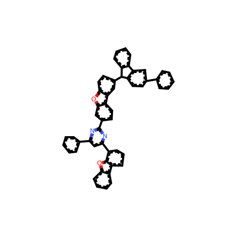 c1ccc(-c2ccc3c(c2)-c2ccccc2C3c2ccc3oc4cc(-c5nc(-c6ccccc6)cc(-c6cccc7c6oc6ccccc67)n5)ccc4c3c2)cc1